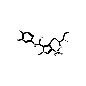 CC[C@H](C)[C@@H]1CCc2c(cn(C)c2C(O)Nc2ccc(F)c(F)c2)S(=N)(=O)N1